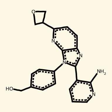 Nc1ncccc1-c1nc2ccc(C3COC3)nc2n1-c1ccc(CO)cc1